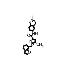 Cc1cc(C(=O)Nc2ccc3c(c2)CCNC3)nn1Cc1cccc2ccoc12